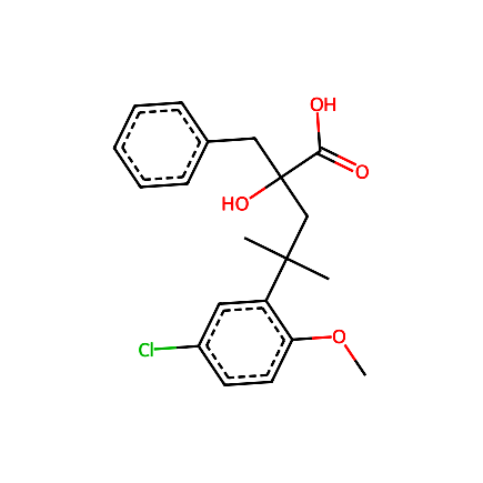 COc1ccc(Cl)cc1C(C)(C)CC(O)(Cc1ccccc1)C(=O)O